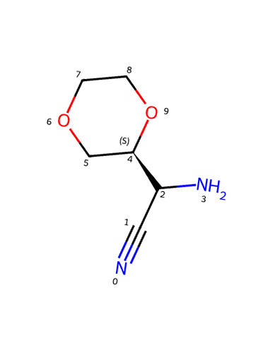 N#CC(N)[C@H]1COCCO1